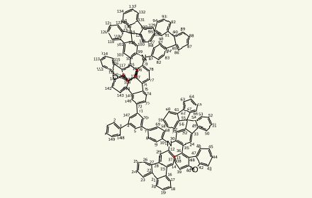 c1ccc(-c2cc(-c3ccc(N(c4ccc5c6ccccc6c6ccccc6c5c4)c4cc5c(cc4-c4cccc6oc7ccccc7c46)-c4ccccc4C54c5ccccc5-c5ccccc54)cc3)cc(-c3ccc4c5ccc(N(c6ccc(-c7ccccc7-c7ccccc7)cc6)c6cc7c(cc6-c6cccc8oc9ccccc9c68)-c6ccccc6C76c7ccccc7-c7ccccc76)cc5c5ccccc5c4c3)c2)cc1